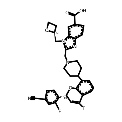 N#Cc1ccc([C@H]2C=C(F)c3cccc(C4CCN(Cc5nc6ccc(C(=O)O)cc6n5C[C@@H]5CCO5)CC4)c3O2)c(F)c1